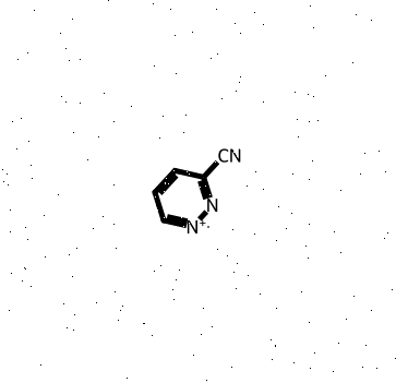 N#CC1=N[N+]=CC=C1